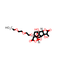 CC1C(=O)O[C@H]2[C@H](O)[C@@]34C5C[C@@H](C)C36[C@@H](OC(=O)[C@@H]6OCCOCCOCC(=O)O)O[C@@]4(C(=O)O5)[C@@]12O